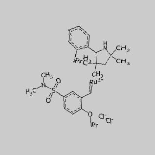 CC(C)Oc1ccc(S(=O)(=O)N(C)C)cc1[CH]=[Ru+2].CC(C)c1ccccc1C1NC(C)(C)CC1(C)C.[Cl-].[Cl-]